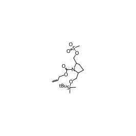 C=CCOC(=O)N1C(CO[Si](C)(C)C(C)(C)C)CCC1COS(C)(=O)=O